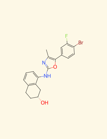 Cc1nc(Nc2cccc3c2C[C@H](O)CC3)oc1-c1ccc(Br)c(F)c1